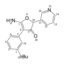 CCCCc1cccc(C2=C(N)OC(c3cccnc3)C2=O)c1